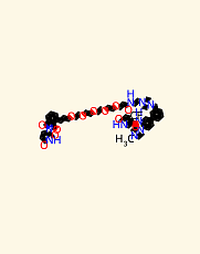 CN1CCN(c2ccc(-c3cccc(CN4CCN(CCNC(=O)CCOCCOCCOCCOCCOCCCc5cccc6c5C(=O)N(C5CCC(=O)NC5=O)C6=O)CC4)c3)cc2NC(=O)c2c[nH]c(=O)cc2C(F)(F)F)CC1